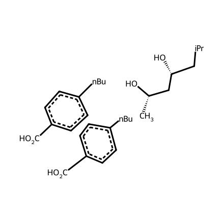 CC(C)C[C@@H](O)C[C@H](C)O.CCCCc1ccc(C(=O)O)cc1.CCCCc1ccc(C(=O)O)cc1